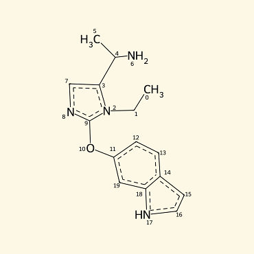 CCn1c(C(C)N)cnc1Oc1ccc2cc[nH]c2c1